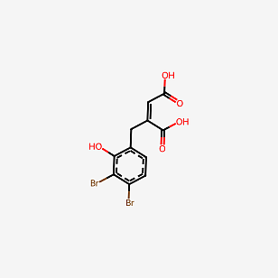 O=C(O)/C=C(/Cc1ccc(Br)c(Br)c1O)C(=O)O